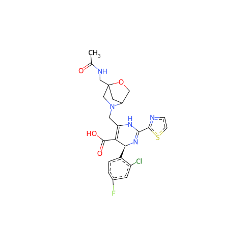 CC(=O)NCC12CC(CO1)N(CC1=C(C(=O)O)[C@H](c3ccc(F)cc3Cl)N=C(c3nccs3)N1)C2